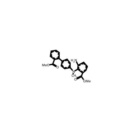 COC(=O)c1ccccc1-c1ccc(N(C)c2c(N)cccc2C(=O)OC)cc1